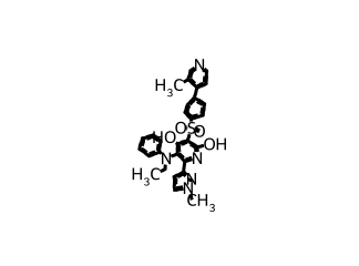 CCN(c1ccccc1)c1c(-c2ccn(C)n2)nc(O)c(S(=O)(=O)c2ccc(-c3ccncc3C)cc2)c1O